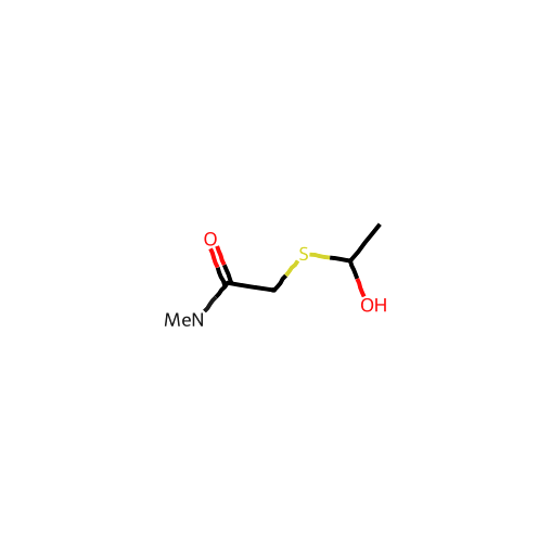 CNC(=O)CSC(C)O